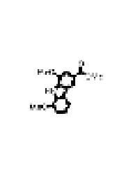 COC(=O)c1cc(OC)c2[nH]c3c(OC)cccc3c2c1